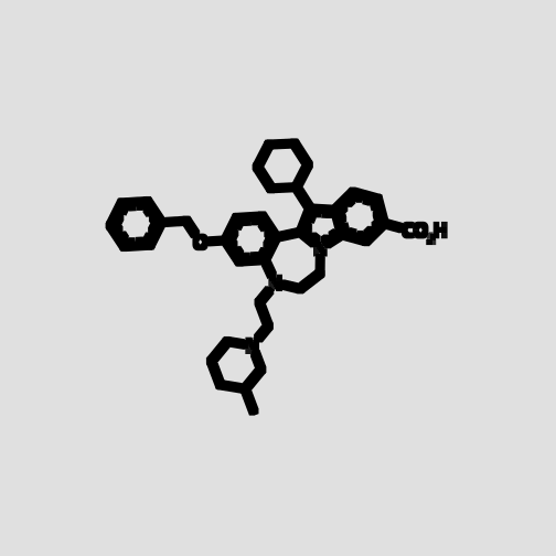 CC1CCCN(CCN2CCn3c(c(C4CCCCC4)c4ccc(C(=O)O)cc43)-c3ccc(OCc4ccccc4)cc32)C1